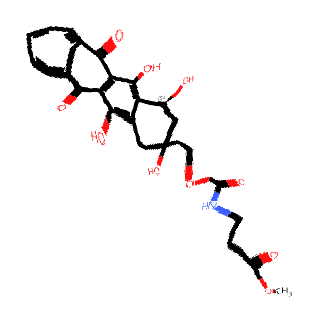 COC(=O)CCNC(=O)OCC1(O)Cc2c(O)c3c(c(O)c2[C@@H](O)C1)C(=O)c1ccccc1C3=O